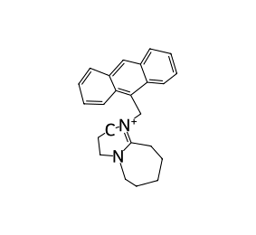 c1ccc2c(C[N+]3=C4CCCCCN4CCC3)c3ccccc3cc2c1